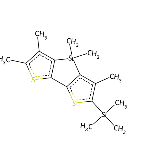 Cc1sc2c(c1C)[Si](C)(C)c1c-2sc([Si](C)(C)C)c1C